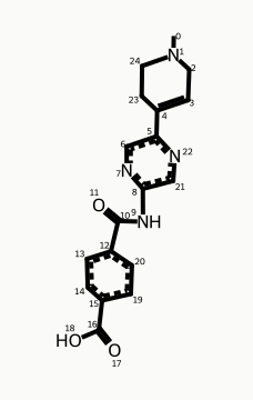 CN1CC=C(c2cnc(NC(=O)c3ccc(C(=O)O)cc3)cn2)CC1